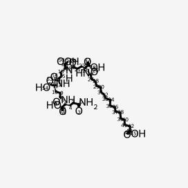 NC(=O)CC[C@H](NC(=O)CC[C@H](NC(=O)CC[C@H](NC(=O)CC[C@H](NC(=O)CCCCCCCCCCCCCCCCC(=O)O)C(=O)O)C(=O)O)C(O)O)C(=O)O